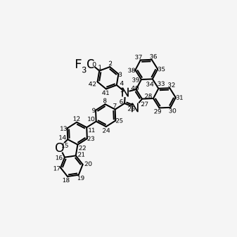 FC(F)(F)c1ccc(-n2c(-c3ccc(-c4ccc5oc6ccccc6c5c4)cc3)nc3c4ccccc4c4ccccc4c32)cc1